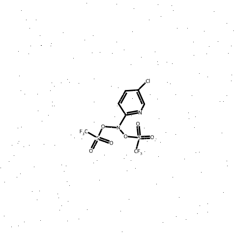 O=S(=O)(ON(OS(=O)(=O)C(F)(F)F)c1ccc(Cl)cn1)C(F)(F)F